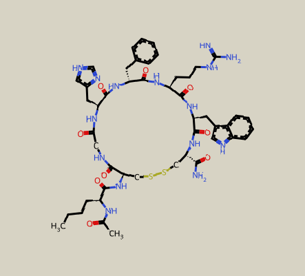 CCCC[C@H](NC(C)=O)C(=O)N[C@@H]1CSSC[C@@H](C(N)=O)NC(=O)[C@H](Cc2c[nH]c3ccccc23)NC(=O)[C@H](CCCNC(=N)N)NC(=O)[C@@H](Cc2ccccc2)NC(=O)[C@H](Cc2c[nH]cn2)NC(=O)CNC1=O